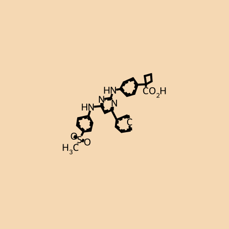 CS(=O)(=O)c1ccc(Nc2cc(-c3ccccc3)nc(Nc3ccc(C4(C(=O)O)CCC4)cc3)n2)cc1